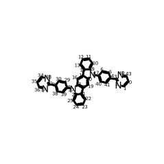 c1cnc(-c2ccc(-n3c4ccccc4c4cc5c(cc43)c3ccccc3n5-c3ccc(-c4ncccn4)cc3)cc2)nc1